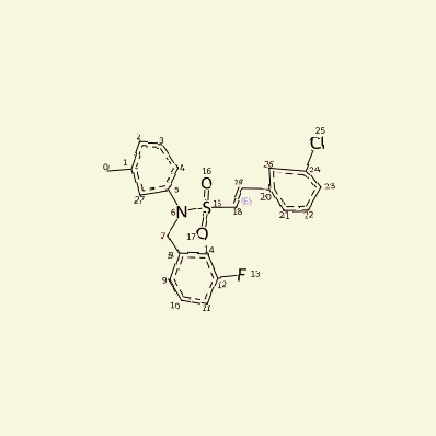 Cc1cccc(N(Cc2cccc(F)c2)S(=O)(=O)/C=C/c2cccc(Cl)c2)c1